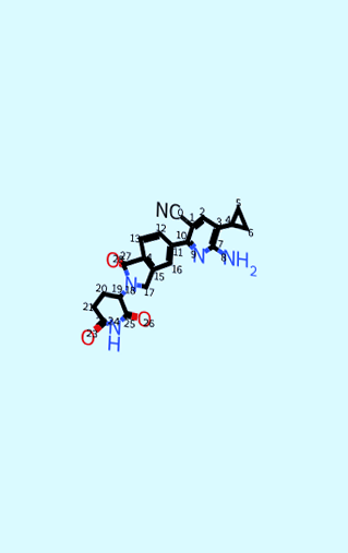 N#Cc1cc(C2CC2)c(N)nc1-c1ccc2c(c1)CN(C1CCC(=O)NC1=O)C2=O